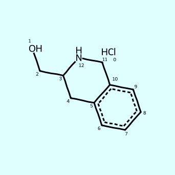 Cl.OCC1Cc2ccccc2CN1